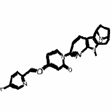 Cn1c2c(c3ccc(-n4ccc(OCc5ccc(F)cn5)cc4=O)nc31)C1CCC(C2)N1